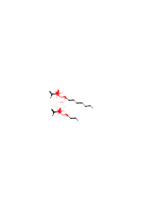 C=C(C)C(=O)OCCCC.C=C(C)C(=O)OCCCCCCCC